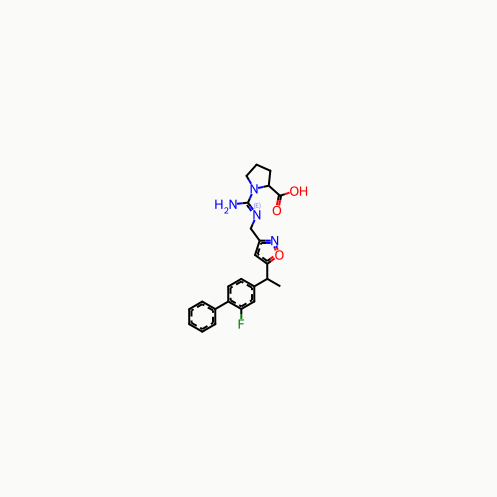 CC(c1ccc(-c2ccccc2)c(F)c1)c1cc(C/N=C(\N)N2CCCC2C(=O)O)no1